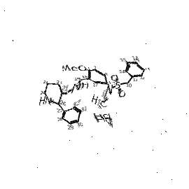 COc1ccc(N(C)S(=O)(=O)Cc2ccccc2)cc1CNC1CCCNC1c1ccccc1.Cl.Cl